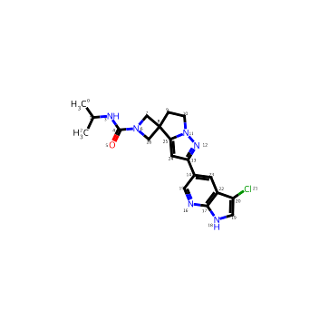 CC(C)NC(=O)N1CC2(CCn3nc(-c4cnc5[nH]cc(Cl)c5c4)cc32)C1